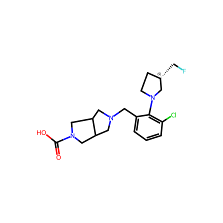 O=C(O)N1CC2CN(Cc3cccc(Cl)c3N3CC[C@H](CF)C3)CC2C1